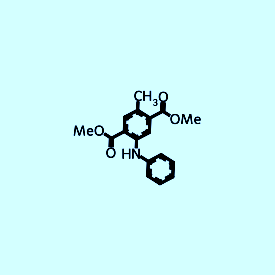 COC(=O)c1cc(Nc2ccccc2)c(C(=O)OC)cc1C